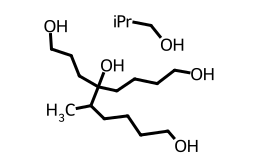 CC(C)CO.CC(CCCCO)C(O)(CCCO)CCCCO